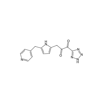 O=C(Cc1ccc(Cc2ccncc2)[nH]1)C(=O)c1nn[nH]n1